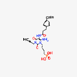 C#CCn1c(=O)c(NC(=O)CCc2ccc(OC)cc2)c(N)n(CCCCP(=O)(O)O)c1=O